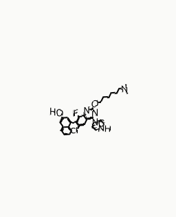 CN(C)CCCCCCOc1nc(N2CC3CCCC2CN3)c2cc(Cl)c(-c3cc(O)cc4ccccc34)c(F)c2n1